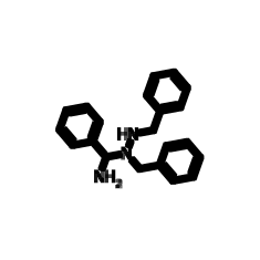 NC(c1ccccc1)N(Cc1ccccc1)NCc1ccccc1